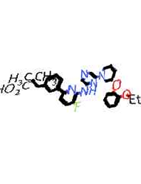 CCOc1ccccc1O[C@@H]1CCCN(c2cncc(Nc3nc(-c4cccc(CC(C)(C)C(=O)O)c4)ccc3F)n2)C1